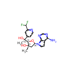 C[C@]1(O)C[C@H](n2ccc3c(N)ncnc32)O[C@@H]1[C@@](C)(O)c1ccnc(C(F)F)c1